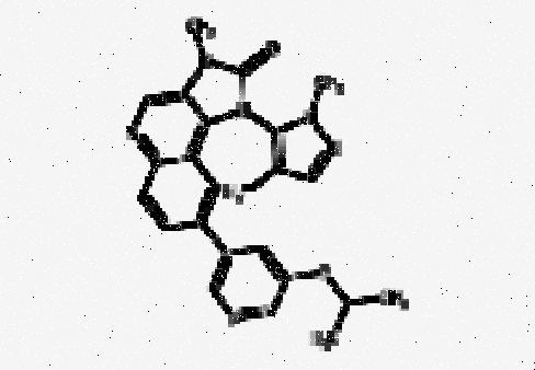 Cc1cnn(C)c1-n1c(=O)n(C)c2cnc3ccc(-c4cncc(OC(C)C)c4)cc3c21